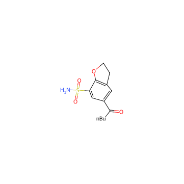 CCCCC(=O)c1cc2c(c(S(N)(=O)=O)c1)OCC2